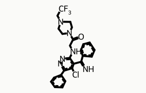 N=C(c1ccccc1)c1c(NCC(=O)N2CCN(CC(F)(F)F)CC2)nnc(-c2ccccc2)c1Cl